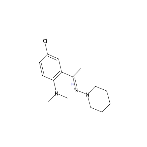 C/C(=N\N1CCCCC1)c1cc(Cl)ccc1N(C)C